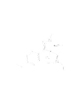 CO/N=C(\C)C1(NO)C(=O)N(C)N=C1c1ccc(OC)cc1